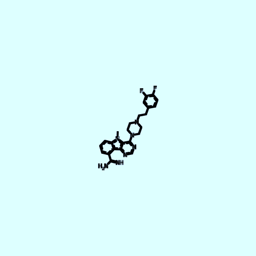 Cn1c2cccc(C(=N)N)c2c2ncnc(N3CCN(CCc4ccc(F)c(F)c4)CC3)c21